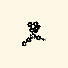 N#Cc1ccc(-c2cc(-c3ccc4c(c3)C3(c5ccccc5-c5ccccc5-4)c4ccccc4-c4ccccc43)nc(-c3ccc(-c4ccccn4)cc3)n2)cc1